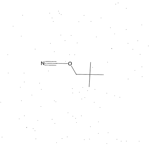 CC(C)(C)COC#N